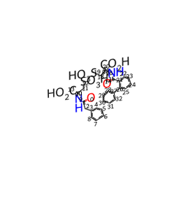 O=C(Cc1ccccc1)N[C@@H](CS(=O)(=O)O)C(=O)O.O=C(N[C@@H](CS(=O)(=O)O)C(=O)O)c1ccccc1-c1ccccc1